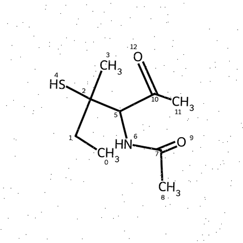 CCC(C)(S)C(NC(C)=O)C(C)=O